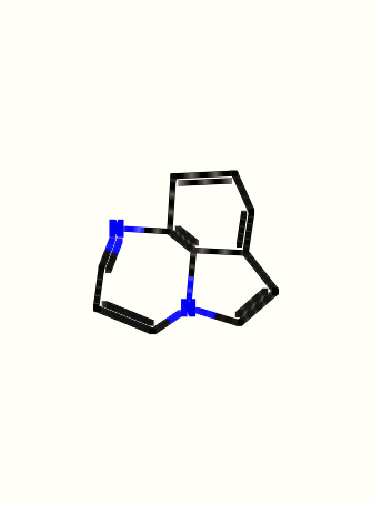 C1=Cn2ccc3cccc(c32)N=C1